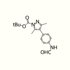 Cc1nn(C(=O)OC(C)(C)C)c(C)c1-c1ccc(NC=O)cc1